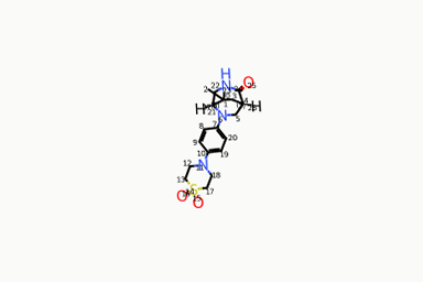 CC1(C)C[C@H]2CN(c3ccc(N4CCS(=O)(=O)CC4)cc3)[C@@H]1CNC2=O